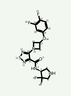 O=C(N[C@H]1CNCC1(F)F)c1nsnc1N1CC(Oc2ccc(F)c(F)c2)C1